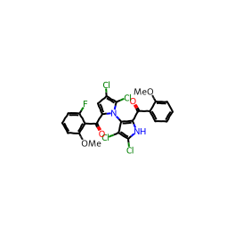 COc1ccccc1C(=O)c1[nH]c(Cl)c(Cl)c1-n1c(C(=O)c2c(F)cccc2OC)cc(Cl)c1Cl